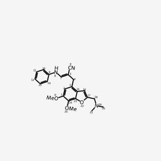 COc1cc(CC(C#N)=CNc2ccccc2)c2cc(CN(C)C)oc2c1OC